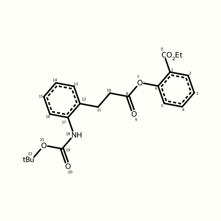 CCOC(=O)c1ccccc1OC(=O)CCc1ccccc1NC(=O)OC(C)(C)C